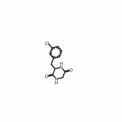 O=C1[CH]NC(=O)C(Cc2cccc(Cl)c2)N1